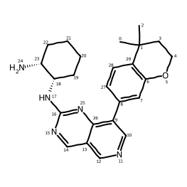 CC1(C)CCOc2cc(-c3cncc4cnc(N[C@H]5CCCC[C@H]5N)nc34)ccc21